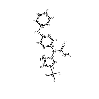 CC(C)(C)c1cc(N(C(N)=O)c2ccc(Sc3ccncc3)cc2)[nH]n1